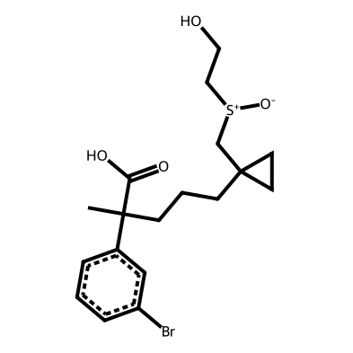 CC(CCCC1(C[S+]([O-])CCO)CC1)(C(=O)O)c1cccc(Br)c1